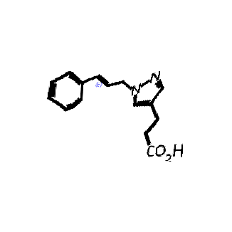 O=C(O)CCc1cnn(C/C=C/c2ccccc2)c1